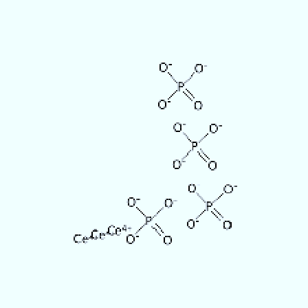 O=P([O-])([O-])[O-].O=P([O-])([O-])[O-].O=P([O-])([O-])[O-].O=P([O-])([O-])[O-].[Ce+4].[Ce+4].[Ce+4]